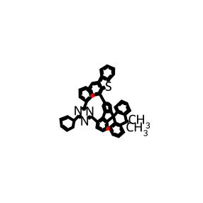 CC1(C)c2ccccc2C2(c3ccc(-c4cccc5c4sc4ccccc45)cc3-c3c(-c4nc(-c5ccccc5)nc(C5C=CC=CC5)n4)cccc32)c2ccccc21